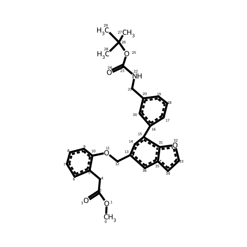 COC(=O)Cc1ccccc1OCc1cc(-c2cccc(CNC(=O)OC(C)(C)C)c2)c2occc2c1